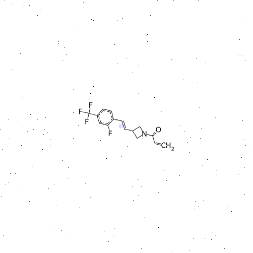 C=CC(=O)N1CC(/C=C/c2ccc(C(F)(F)F)cc2F)C1